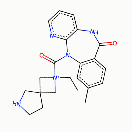 CC[N+]1(C(=O)N2c3cc(C)ccc3C(=O)Nc3cccnc32)CC2(CCNC2)C1